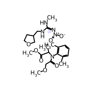 CN/C(=N/[N+](=O)[O-])NCC1CCOC1.COCC(=O)N(c1c(C)cccc1C)C(C)C(=O)OC